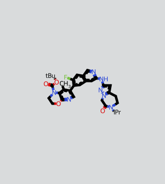 Cc1c(-c2cc3cc(Nc4cc5n(n4)CC(=O)N(C(C)C)CC5)ncc3cc2F)cnc2c1N(C(=O)OC(C)(C)C)CCO2